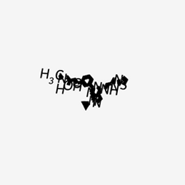 CNCC(O)COc1cccc(-c2nc(NCc3cn4ccsc4n3)c3cnn(C4CC4)c3n2)c1